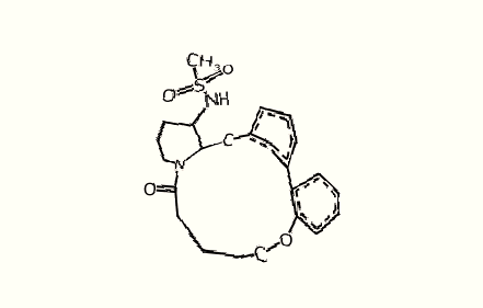 CS(=O)(=O)NC1CCCN2C(=O)CCCCCOc3ccccc3-c3cccc(c3)CC12